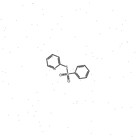 O=S(=O)(Sc1ccccn1)c1ccccc1